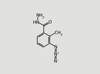 Cc1c(N=[N+]=[N-])cccc1C(=O)NN